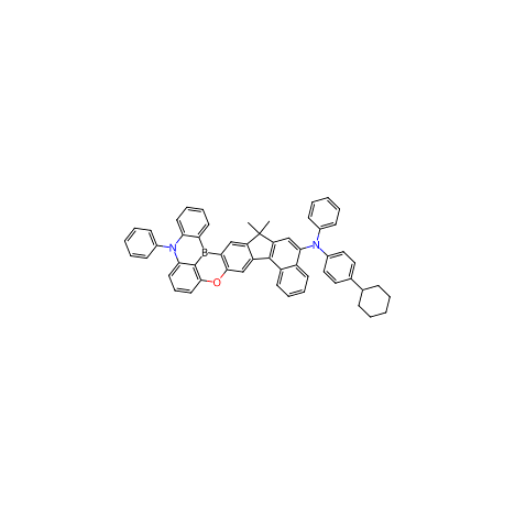 CC1(C)c2cc3c(cc2-c2c1cc(N(c1ccccc1)c1ccc(C4CCCCC4)cc1)c1ccccc21)Oc1cccc2c1B3c1ccccc1N2c1ccccc1